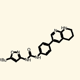 CC(C)(C)c1cc(NC(=O)Nc2ccc(-c3cnc4c(c3)CCCN4)cc2)no1